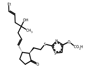 CC/C=C/CC(C)(O)C/C=C/[C@H]1CCC(=O)[C@@H]1CCSc1nc(OC(=O)O)cs1